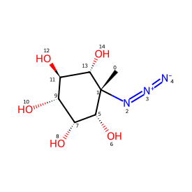 C[C@@]1(N=[N+]=[N-])[C@H](O)[C@H](O)[C@H](O)[C@@H](O)[C@@H]1O